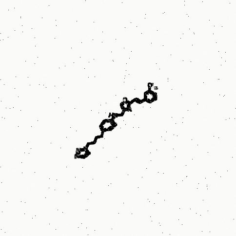 FC(F)(F)c1cccc(C=Cc2nc(CNc3ccc(CCCCn4ccnn4)cc3)co2)c1